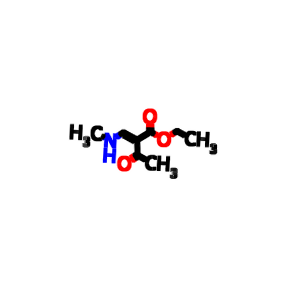 CCOC(=O)/C(=C/NC)C(C)=O